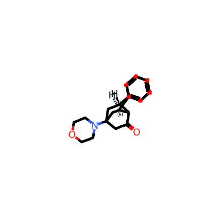 O=C1CC2(N3CCOCC3)C[C@H](c3ccccc3)C1[C@H](c1ccccc1)C2